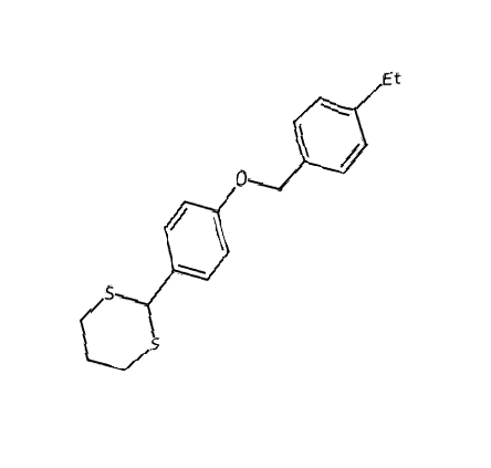 CCc1ccc(COc2ccc(C3SCCCS3)cc2)cc1